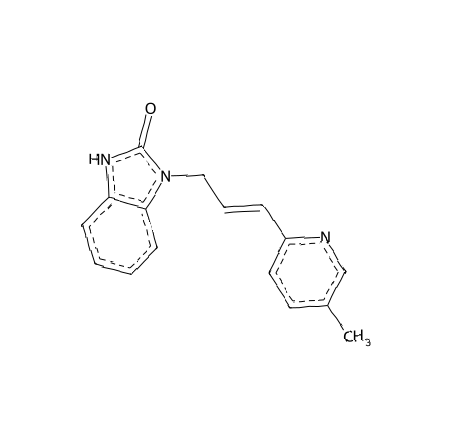 Cc1ccc(/C=C/Cn2c(=O)[nH]c3ccccc32)nc1